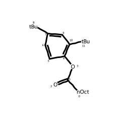 [CH2]CCCCCCCC(=O)Oc1ccc(C(C)(C)C)cc1C(C)(C)C